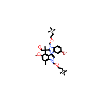 COc1cc(C)c2c(ccn2COCC[Si](C)(C)C)c1C(C)(C=O)c1nc2cc(Br)ccc2n1COCC[Si](C)(C)C